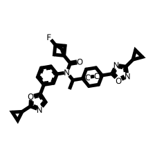 CC(N(C(=O)C12CC(F)(C1)C2)c1cccc(-c2cnc(C3CC3)o2)c1)C12CCC(c3nc(C4CC4)no3)(CC1)CC2